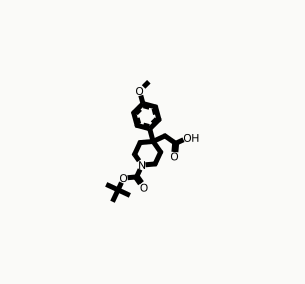 COc1ccc(C2(CC(=O)O)CCN(C(=O)OC(C)(C)C)CC2)cc1